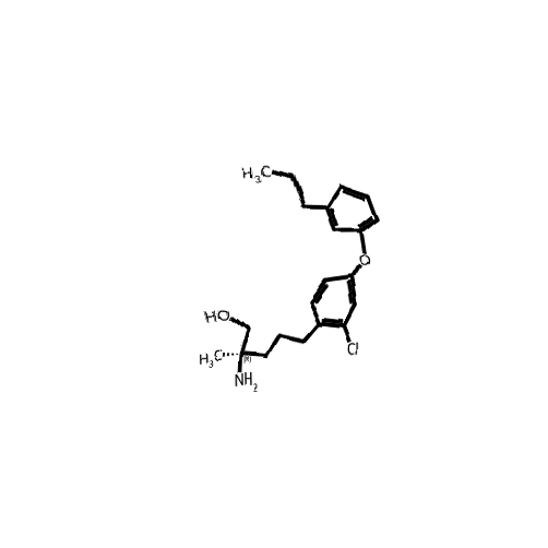 CCCc1cccc(Oc2ccc(CCC[C@@](C)(N)CO)c(Cl)c2)c1